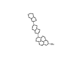 CC(C)(C)c1cc2ccc3ccc(-c4ccc5cc(-c6ccc7ccccc7c6)ccc5c4)c4ccc(c1)c2c34